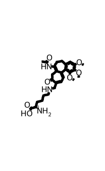 COc1cc2c(c(OC)c1OC)C1=CC=C(CNCCCC[C@@H](N)C(=O)O)C(=O)CC1=C(NC(C)=O)CC2